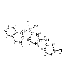 CN(Cc1ccccc1)C(=O)c1cnc(Nc2cccc(Cl)c2)nc1C(F)(F)F